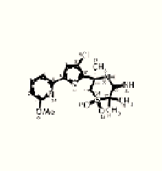 COc1cccc(-c2cc(Cl)c([C@]3(C)CS(=O)(=O)C(C)(C)C(=N)N3)s2)n1